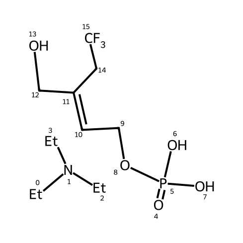 CCN(CC)CC.O=P(O)(O)OC/C=C(/CO)CC(F)(F)F